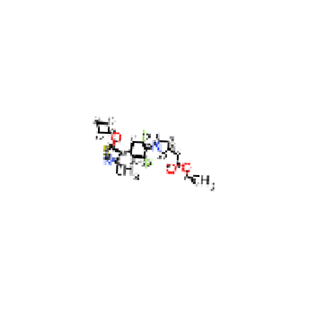 CCOC(=O)CC1CCN(c2c(F)cc(-c3c(C)nsc3OC3CCC3)cc2F)C1